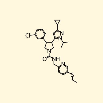 CCSc1ccc(CNC(=O)N2CC(c3cccc(Cl)c3)C(c3cc(C4CC4)nn3C(C)C)C2)nc1